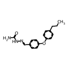 CCCc1ccc(Oc2ccc(C=NNC(N)=O)cc2)cc1